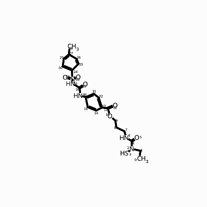 CCN(S)C(=O)NCCCOC(=O)c1ccc(NC(=O)NS(=O)(=O)c2ccc(C)cc2)cc1